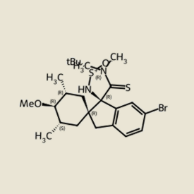 CO[C@H]1[C@H](C)C[C@@]2(Cc3ccc(Br)cc3[C@@]2(N[S@@+]([O-])C(C)(C)C)C(=S)N(C)C)C[C@@H]1C